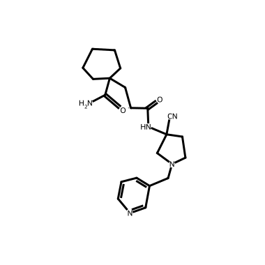 N#CC1(NC(=O)[CH]CC2(C(N)=O)CCCCC2)CCN(Cc2cccnc2)C1